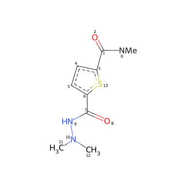 CNC(=O)c1ccc(C(=O)NN(C)C)s1